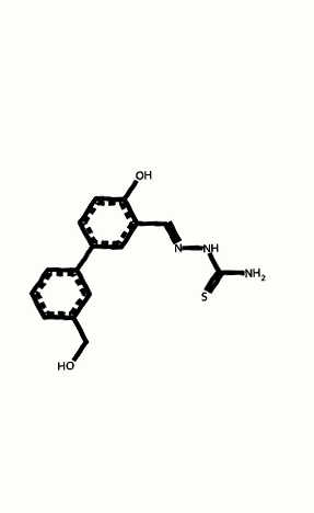 NC(=S)NN=Cc1cc(-c2cccc(CO)c2)ccc1O